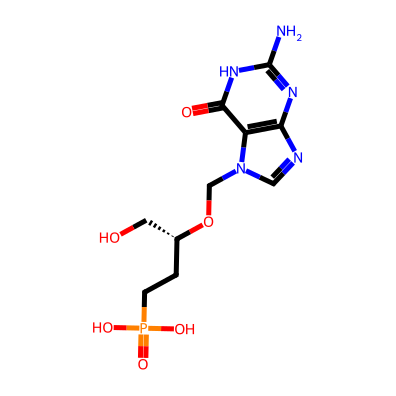 Nc1nc2ncn(CO[C@@H](CO)CCP(=O)(O)O)c2c(=O)[nH]1